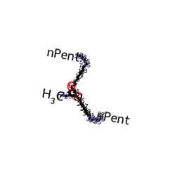 C/C=C/c1cc(OCCCCCCCC/C=C\C/C=C\CCCCC)cc(OCCCCCCCC/C=C\C/C=C\CCCCC)c1